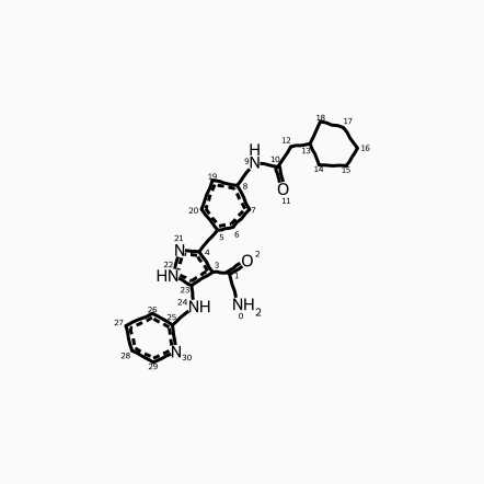 NC(=O)c1c(-c2ccc(NC(=O)CC3CCCCC3)cc2)n[nH]c1Nc1ccccn1